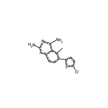 Cc1c(-c2ccc(Cl)s2)ccc2nc(N)nc(N)c12